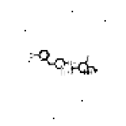 C=CC1NCC(C(=O)NC2CCC(Cc3cccc(Cl)c3)CN2)CC1F